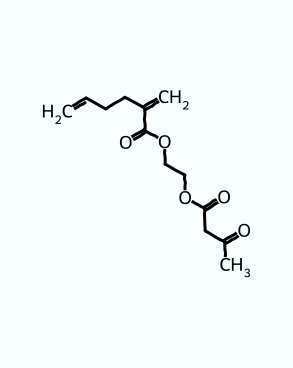 C=CCCC(=C)C(=O)OCCOC(=O)CC(C)=O